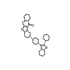 O=c1c2ccccc2sc2nc3ccc(-c4ccc(-n5c(-c6ccccc6)nc6ccccc65)cc4)cc3n12